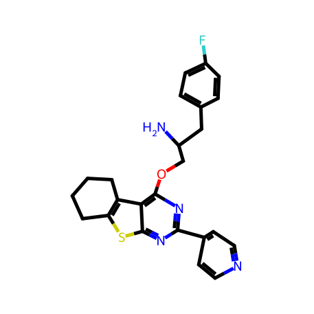 NC(COc1nc(-c2ccncc2)nc2sc3c(c12)CCCC3)Cc1ccc(F)cc1